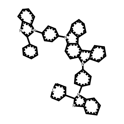 c1ccc(-c2nc3ccccc3n2-c2ccc(-n3c4ccccc4c4c5c6ccccc6n(-c6ccc(-n7c(-c8ccccc8)nc8ccccc87)cc6)c5ccc43)cc2)cc1